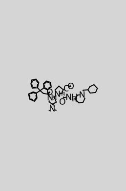 CN(C)[C@@H]1C[C@@H](N2CCC(=C=O)[C@@H]2C(=O)NC[C@H]2CCCN(CC3CCCCC3)C2)N(C(=O)CC(c2ccccc2)(c2ccccc2)c2ccccc2)C1